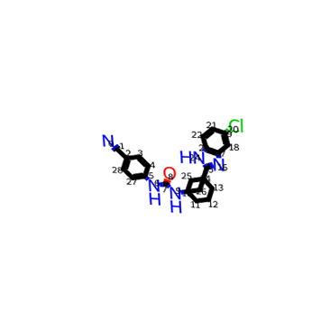 N#Cc1ccc(NC(=O)NC23CCCC(c4nc5cc(Cl)ccc5[nH]4)(C2)C3)cc1